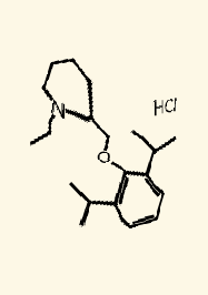 CCN1CCCCC1COc1c(C(C)C)cccc1C(C)C.Cl